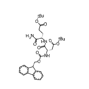 CC(C)(C)OC(=O)CC[C@H](NC(=O)[C@H](CC(=O)OC(C)(C)C)NC(=O)OCC1c2ccccc2-c2ccccc21)C(N)=O